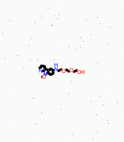 COn1c2ccc(NCCOCCOCCO)cc2c2cccnc21